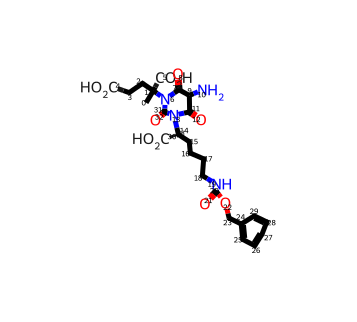 CC(CCC(=O)O)(C(=O)O)N1C(=O)C(N)C(=O)N([C@@H](CCCCNC(=O)OCc2ccccc2)C(=O)O)C1=O